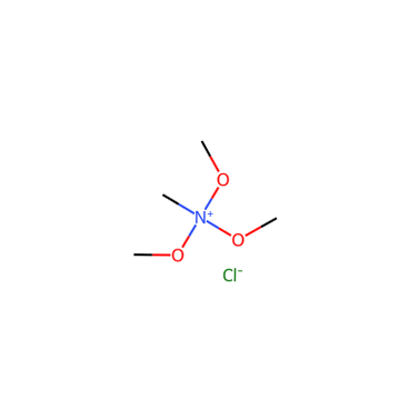 CO[N+](C)(OC)OC.[Cl-]